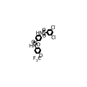 O=S(=O)(Nc1ccc(OC(F)(F)F)cc1)c1ccc(NS(=O)(=O)c2cc(Cl)cc(Cl)c2)cc1